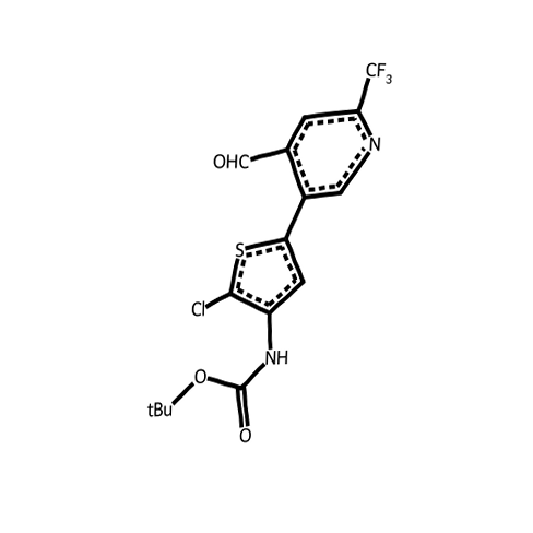 CC(C)(C)OC(=O)Nc1cc(-c2cnc(C(F)(F)F)cc2C=O)sc1Cl